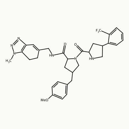 COc1ccc(CC2CC(C(=O)NCC3=Cc4nnn(C)c4CC3)N(C(=O)C3CC(c4ccccc4C(F)(F)F)CN3)C2)cc1